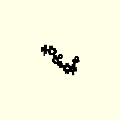 Cc1nn(C2COC2)c2nc(N3CC4(CCN(c5ccnc(C(F)(F)F)c5)C4=O)C3)cnc12